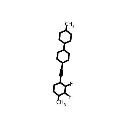 CC1CCC(C2CCC(C#CC3CCC(C)C(F)C3F)CC2)CC1